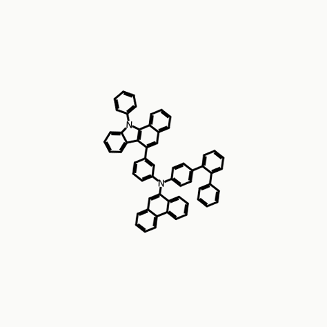 c1ccc(-c2ccccc2-c2ccc(N(c3cccc(-c4cc5ccccc5c5c4c4ccccc4n5-c4ccccc4)c3)c3cc4ccccc4c4ccccc34)cc2)cc1